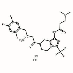 CN(C)CCC(=O)Nc1nc(C(F)(F)F)n2c1CN(C(=O)C[C@H](N)Cc1cc(F)c(F)cc1F)CC2.Cl.Cl